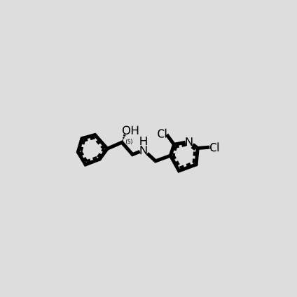 O[C@H](CNCc1ccc(Cl)nc1Cl)c1ccccc1